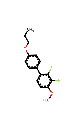 CCCOc1ccc(-c2ccc(OC)c(F)c2F)cc1